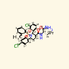 Cc1ccccc1S(=O)(=O)N1C(c2ccc(Cl)cc2)CC=C(C(=O)N[C@@H](CC(C)C)C(N)=O)C1c1cccc(Cl)c1